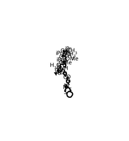 CC[C@H](C)[C@@H]([C@@H](CC(=O)N1CCC[C@H]1[C@H](OC)[C@@H](C)C(=O)N[C@@H](Cc1ccc(OC(=O)N2CCC(Cn3nnc4c3CSC3CCCCCCCC(C3)SC4)CC2)cc1)C(=O)NS(=O)(=O)C1CC1)OC)N(C)C(=O)[C@@H](NC(=O)[C@H](C(C)C)N(C)C)C(C)C